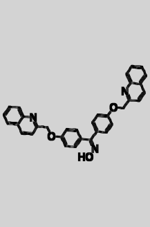 ON=C(c1ccc(OCc2ccc3ccccc3n2)cc1)c1ccc(OCc2ccc3ccccc3n2)cc1